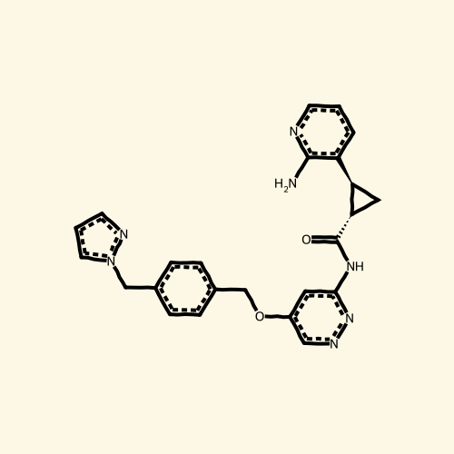 Nc1ncccc1[C@H]1C[C@@H]1C(=O)Nc1cc(OCc2ccc(Cn3cccn3)cc2)cnn1